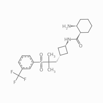 CC(C)(C[C@H]1C[C@H](NC(=O)[C@@H]2CCCC[C@@H]2N)C1)S(=O)(=O)c1cccc(C(F)(F)F)c1